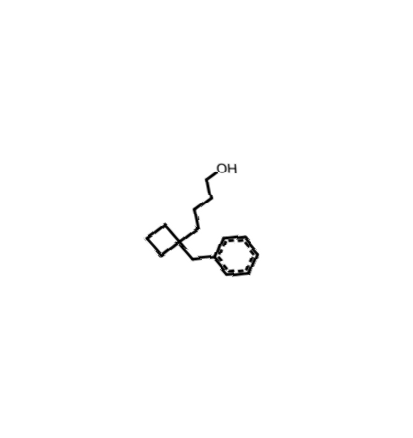 OCCCCC1(Cc2ccccc2)CCC1